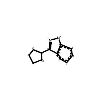 c1ccc2c(c1)[N]N=C2C1CCCC1